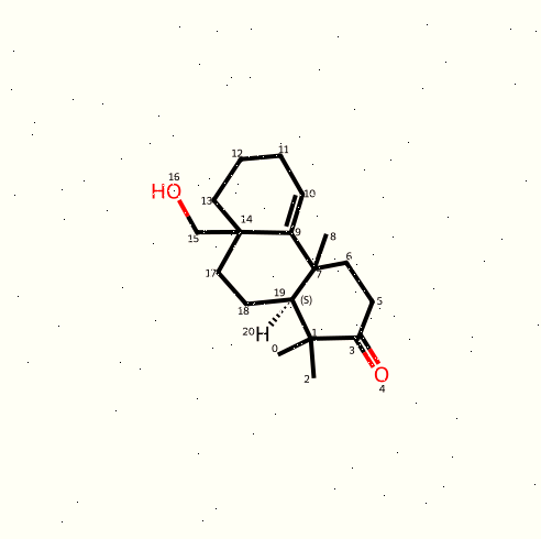 CC1(C)C(=O)CCC2(C)C3=CCCCC3(CO)CC[C@H]12